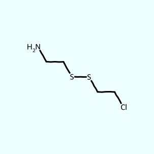 NCCSSCCCl